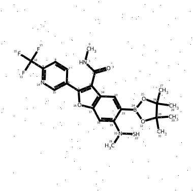 CNC(=O)c1c(-c2ccc(C(F)(F)F)nc2)oc2cc(N(C)S)c(B3OC(C)(C)C(C)(C)O3)cc12